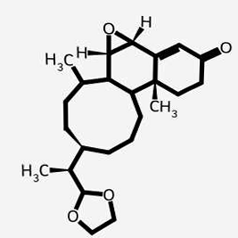 CC1CC[C@H]([C@H](C)C2OCCO2)CCCC2C1[C@@H]1O[C@@H]1C1=CC(=O)CC[C@@]12C